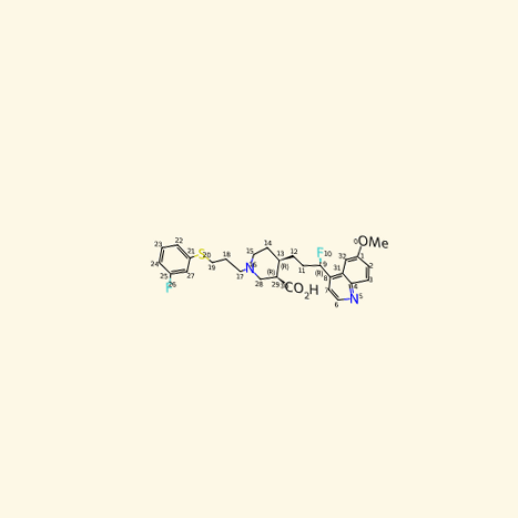 COc1ccc2nccc([C@H](F)CC[C@@H]3CCN(CCCSc4cccc(F)c4)C[C@@H]3C(=O)O)c2c1